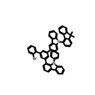 CC1(C)c2ccccc2-c2c(-n3c4ccccc4c4cc(-c5cc(-c6ccccc6Br)cc(-c6cccc7c8ccccc8n(-c8ccccc8)c67)c5)ccc43)cccc21